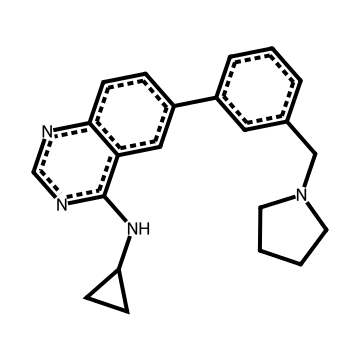 c1cc(CN2CCCC2)cc(-c2ccc3ncnc(NC4CC4)c3c2)c1